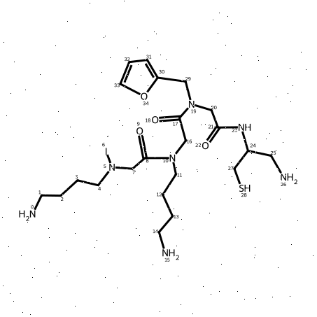 NCCCCN(I)CC(=O)N(CCCCN)CC(=O)N(CC(=O)NC(CN)CS)Cc1ccco1